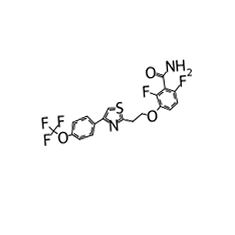 NC(=O)c1c(F)ccc(OCCc2nc(-c3ccc(OC(F)(F)F)cc3)cs2)c1F